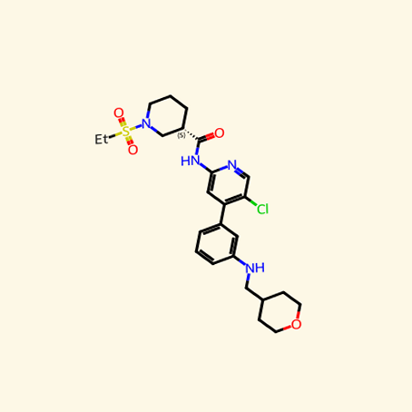 CCS(=O)(=O)N1CCC[C@H](C(=O)Nc2cc(-c3cccc(NCC4CCOCC4)c3)c(Cl)cn2)C1